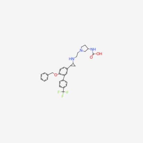 O=C(O)NC1CCN(CCNC2CC2c2ccc(OCc3ccccc3)c(-c3ccc(C(F)(F)F)cc3)c2)C1